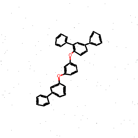 c1ccc(-c2cccc(Oc3cccc(Oc4ccc(-c5ccccc5)cc4-c4ccccc4)c3)c2)cc1